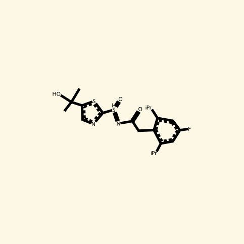 CC(C)c1cc(F)cc(C(C)C)c1CC(=O)N=[SH](=O)c1ncc(C(C)(C)O)s1